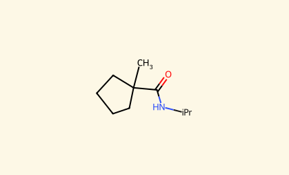 CC(C)NC(=O)C1(C)CCCC1